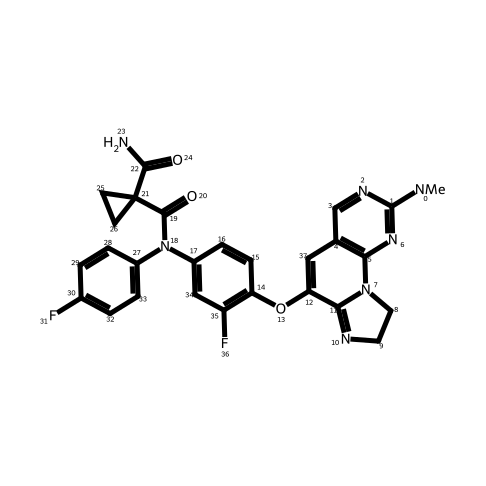 CNc1ncc2c(n1)N1CCN=C1C(Oc1ccc(N(C(=O)C3(C(N)=O)CC3)c3ccc(F)cc3)cc1F)=C2